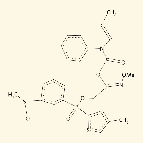 CC=CN(C(=O)OC(COP(=O)(c1cccc([S+](C)[O-])c1)c1cc(C)cs1)=NOC)c1ccccc1